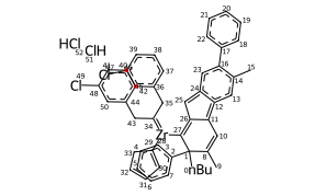 CCCCC1(c2ccccc2)C(C)=CC2=c3cc(C)c(-c4ccccc4)cc3=CC2=[C]1[Zr]([C]1=CC=CC1)=[C](Cc1cccc(Cl)c1)Cc1cccc(Cl)c1.Cl.Cl